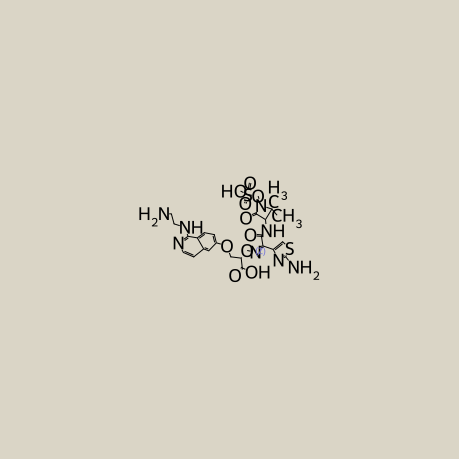 CC1(C)C(NC(=O)/C(=N\OC(COc2ccc3c(NCCN)nccc3c2)C(=O)O)c2csc(N)n2)C(=O)N1OS(=O)(=O)O